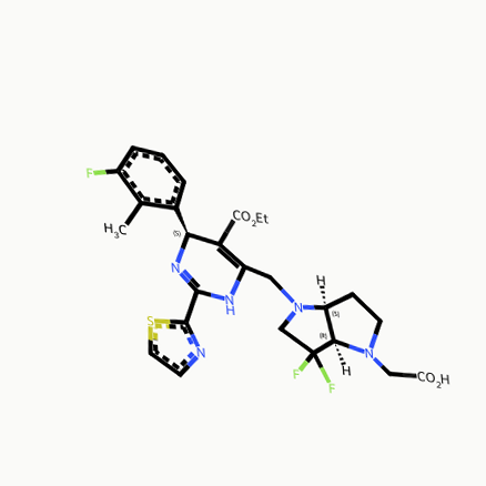 CCOC(=O)C1=C(CN2CC(F)(F)[C@H]3[C@@H]2CCN3CC(=O)O)NC(c2nccs2)=N[C@H]1c1cccc(F)c1C